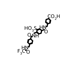 O=C(O)C1C=CC(CNC(=O)C2C=C(S(=O)(=O)O)C(CNC(=O)C3C=CC(CNC(=O)C(F)(F)F)=CC3)=CC2)=CC1